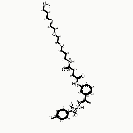 C/C(=N\NS(=O)(=O)c1ccc(C)cc1)c1cccc(NC(=O)CCC(=O)NCCCOCCOCCOCCCN)c1